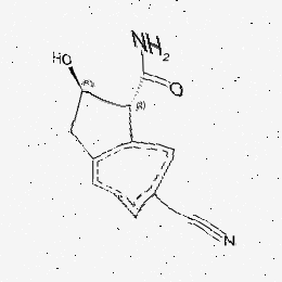 N#Cc1ccc2c(c1)[C@@H](C(N)=O)[C@H](O)C2